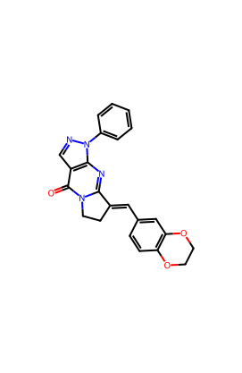 O=c1c2cnn(-c3ccccc3)c2nc2n1CC/C2=C\c1ccc2c(c1)OCCO2